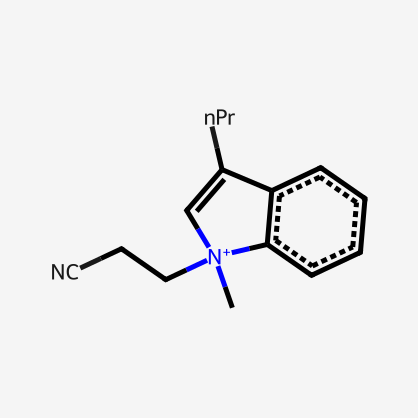 [CH2]CCC1=C[N+](C)(CCC#N)c2ccccc21